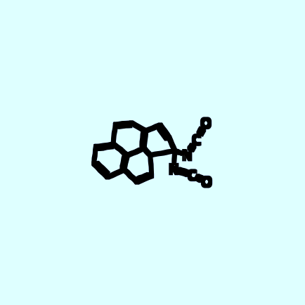 O=C=NC1(N=C=O)C=Cc2ccc3cccc4c3c2C1C=C4